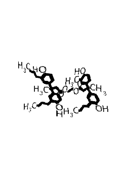 CCCCc1cc(C(C)(CC(=O)OCCOC(=O)CC(C)(c2ccc(O)c(CCCC)c2)c2ccc(O)c(CCCC)c2)c2ccc(O)c(C)c2)ccc1O